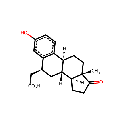 C[C@]12CC[C@@H]3c4ccc(O)cc4[C@H](CC(=O)O)C[C@H]3[C@@H]1CCC2=O